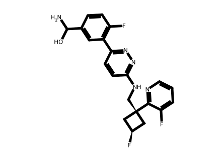 NC(O)c1ccc(F)c(-c2ccc(NC[C@]3(c4ncccc4F)C[C@H](F)C3)nn2)c1